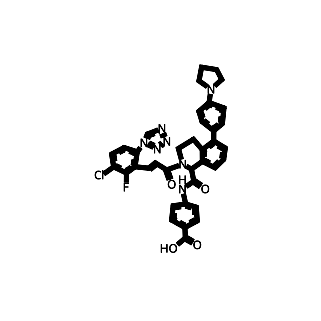 O=C(O)c1ccc(NC(=O)C2c3cccc(-c4ccc(N5CCCC5)cc4)c3CCN2C(=O)/C=C/c2c(-n3cnnn3)ccc(Cl)c2F)cc1